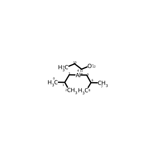 CC(C)[CH2][Al+][CH2]C(C)C.CCC[O-]